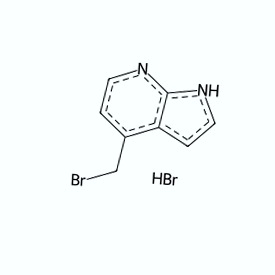 Br.BrCc1ccnc2[nH]ccc12